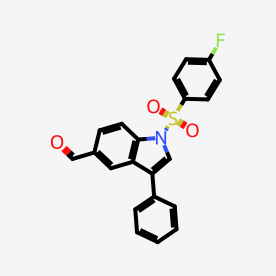 O=Cc1ccc2c(c1)c(-c1ccccc1)cn2S(=O)(=O)c1ccc(F)cc1